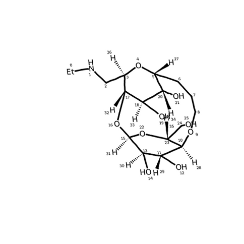 CCNC[C@H]1O[C@@H]2CCCO[C@H]3[C@H](O)[C@@H](O)[C@@H](O[C@H]1[C@H](O)[C@H]2O)O[C@@H]3CO